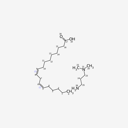 CCCCC/C=C\C/C=C\CCCCCCCC(=O)O.CN(C)CCCN